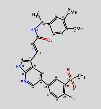 COc1ccc([C@@H](C)NC(=O)/C=C/c2c[nH]c3ncc(-c4ccc(F)c(S(C)(=O)=O)c4)cc23)cc1OC